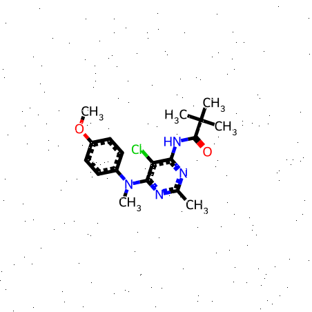 COc1ccc(N(C)c2nc(C)nc(NC(=O)C(C)(C)C)c2Cl)cc1